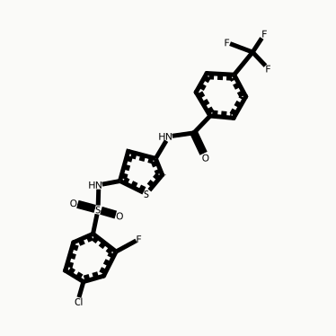 O=C(Nc1[c]sc(NS(=O)(=O)c2ccc(Cl)cc2F)c1)c1ccc(C(F)(F)F)cc1